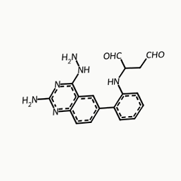 NNc1nc(N)nc2ccc(-c3ccccc3NC(C=O)CC=O)cc12